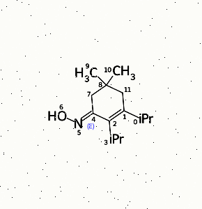 CC(C)C1=C(C(C)C)/C(=N/O)CC(C)(C)C1